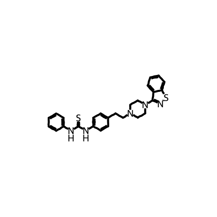 S=C(Nc1ccccc1)Nc1ccc(CCN2CCN(c3nsc4ccccc34)CC2)cc1